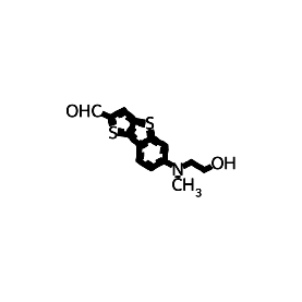 CN(CCO)c1ccc2c(c1)sc1cc(C=O)sc12